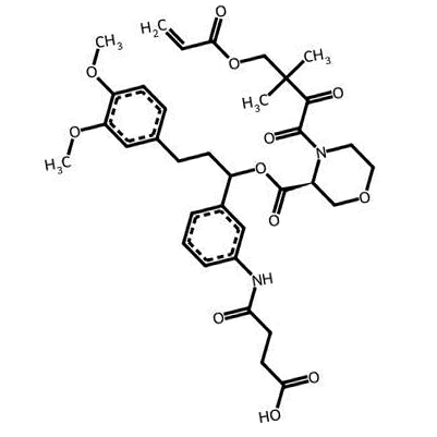 C=CC(=O)OCC(C)(C)C(=O)C(=O)N1CCOC[C@H]1C(=O)OC(CCc1ccc(OC)c(OC)c1)c1cccc(NC(=O)CCC(=O)O)c1